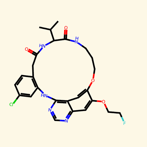 CC(C)C1NC(=O)Cc2ccc(Cl)cc2Nc2ncnc3cc(OCCF)c(cc23)OCCCNC1=O